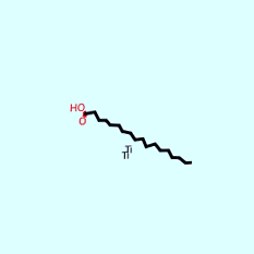 CCCCCCCCCCCCCCCCCC(=O)O.[Ti].[Ti]